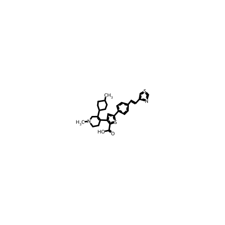 CC1CCC(C2=C(c3cc(-c4ccc(C=Cc5cscn5)cc4)sc3C(=O)O)CCN(C)C2)CC1